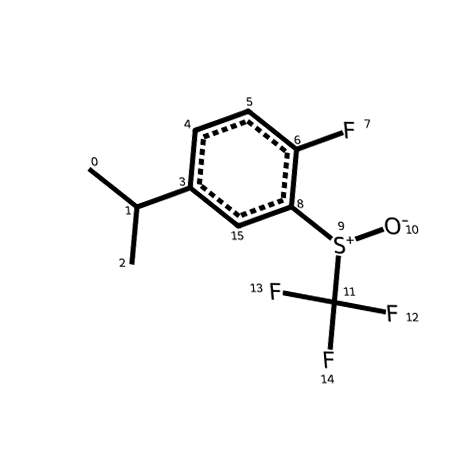 CC(C)c1ccc(F)c([S+]([O-])C(F)(F)F)c1